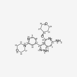 Nc1cc2[nH]nc(-c3ccnc(N4CCOCC4)c3)c2c(OC2CCOCC2)n1